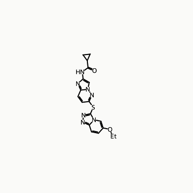 CCOc1ccc2nnc(Sc3ccc4nc(NC(=O)C5CC5)cn4n3)n2c1